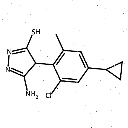 Cc1cc(C2CC2)cc(Cl)c1C1C(N)=NN=C1S